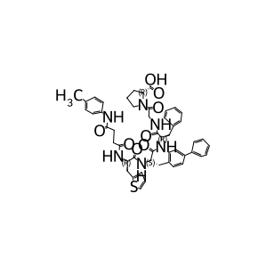 Cc1ccc(NC(=O)CCC(=O)N[C@H](Cc2cccs2)C(=O)N[C@@H](Cc2ccc(-c3ccccc3)cc2)C(=O)N[C@H](Cc2ccccc2)C(=O)NCC(=O)N2CCC[C@@H]2C(=O)O)cc1